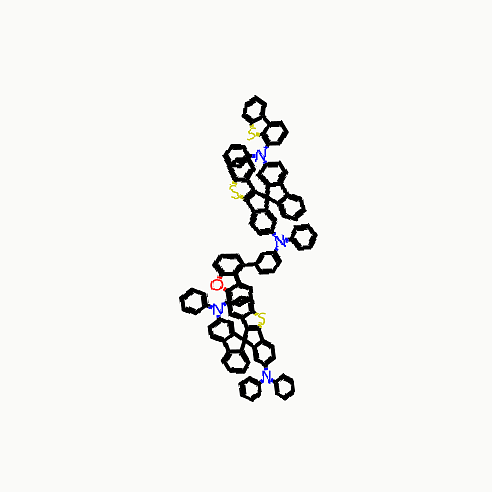 c1ccc(N(c2ccccc2)c2ccc3c(c2)C2(c4ccccc4-c4ccc(N(c5ccccc5)c5cccc6c5oc5cccc(-c7cccc(N(c8ccccc8)c8ccc9c(c8)C8(c%10ccccc%10-c%10ccc(N(c%11ccccc%11)c%11cccc%12c%11sc%11ccccc%11%12)cc%108)c8c-9sc9ccccc89)c7)c56)cc42)c2c-3sc3ccccc23)cc1